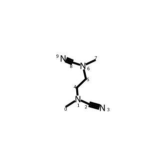 CN(C#N)CCN(C)C#N